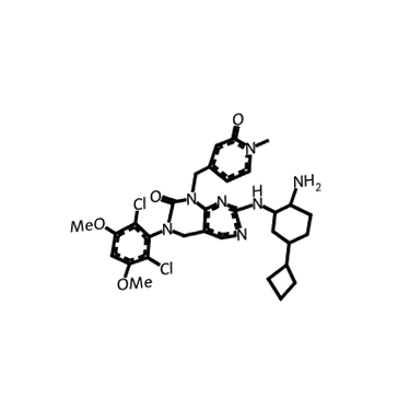 COc1cc(OC)c(Cl)c(N2Cc3cnc(NC4CC(C5CCC5)CCC4N)nc3N(Cc3ccn(C)c(=O)c3)C2=O)c1Cl